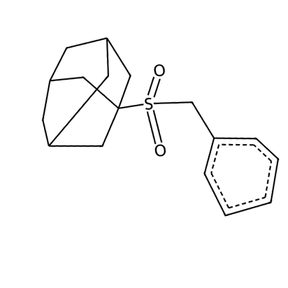 O=S(=O)(Cc1ccccc1)C12CC3CC(CC(C3)C1)C2